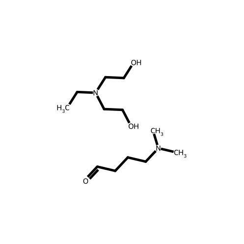 CCN(CCO)CCO.CN(C)CCCC=O